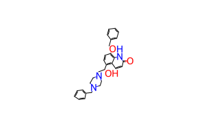 O=c1ccc2c(C(O)CN3CCN(Cc4ccccc4)CC3)ccc(OCc3ccccc3)c2[nH]1